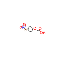 O=C(O)COc1ccc(S[N+](=O)[O-])cc1